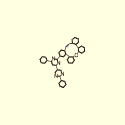 C1=C\c2ccc(-c3nc(-c4ccccc4)cc(-c4cnc(-c5ccccc5)nc4)n3)cc2-c2ccccc2Oc2ccccc2-c2ccccc2/1